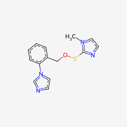 Cn1ccnc1SOCc1ccccc1-n1ccnc1